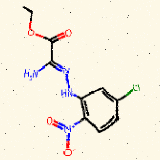 CCOC(=O)/C(N)=N/Nc1cc(Cl)ccc1[N+](=O)[O-]